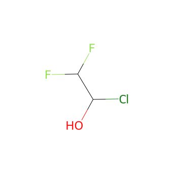 OC(Cl)C(F)F